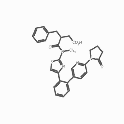 CN(C(=O)C(CC(=O)O)Cc1ccccc1)c1nc(-c2ccccc2-c2ccc(N3CCCC3=O)nc2)cs1